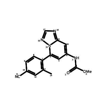 COC(=O)Nc1cc(-c2ccc(C#N)cc2C)n2ncnc2c1